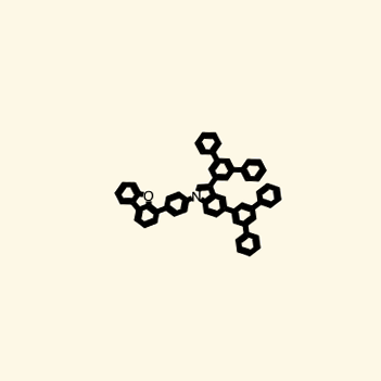 c1ccc(-c2cc(-c3ccccc3)cc(-c3ccc4c(c3)c(-c3cc(-c5ccccc5)cc(-c5ccccc5)c3)cn4-c3ccc(-c4cccc5c4oc4ccccc45)cc3)c2)cc1